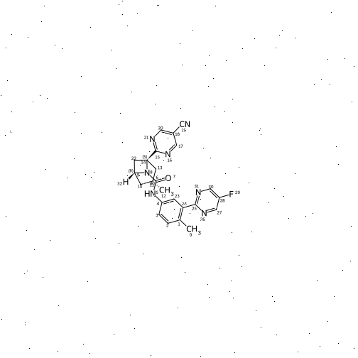 Cc1ccc(NC(=O)N2[C@@H]3C[C@@H](C)C[C@@]2(c2ncc(C#N)cn2)C3)cc1-c1ncc(F)cn1